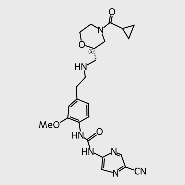 COc1cc(CCNC[C@H]2CN(C(=O)C3CC3)CCO2)ccc1NC(=O)Nc1cnc(C#N)cn1